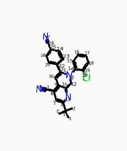 CC(C)(C)c1cc(C#N)c2c(n1)CN(c1ccccc1Cl)C(c1ccc(C#N)cc1)=C2